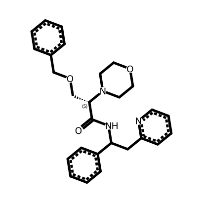 O=C(NC(Cc1ccccn1)c1ccccc1)[C@H](COCc1ccccc1)N1CCOCC1